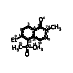 CCc1ccc2c(=O)n(C)ncc2c1P(C)(C)=O